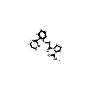 NC(=O)[C@@H]1CCCN1C(=O)CSc1ccccc1C1=NCCCN1